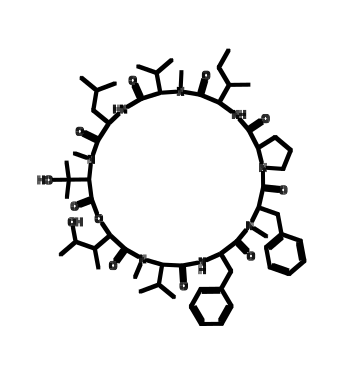 CCC(C)C1NC(=O)C2CCCN2C(=O)C(Cc2ccccc2)N(C)C(=O)C(Cc2ccccc2)NC(=O)C(C(C)C)N(C)C(=O)C(C(C)C(C)O)OC(=O)C(C(C)(C)O)N(C)C(=O)C(CC(C)C)NC(=O)C(C(C)C)N(C)C1=O